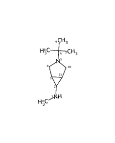 CNC1C2CN(C(C)(C)C)CC21